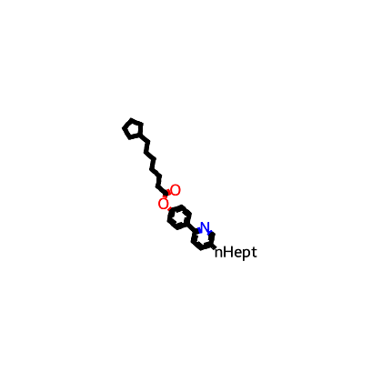 CCCCCCCc1ccc(-c2ccc(OC(=O)CCCCCCC3CCCC3)cc2)nc1